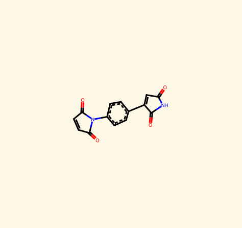 O=C1C=C(c2ccc(N3C(=O)C=CC3=O)cc2)C(=O)N1